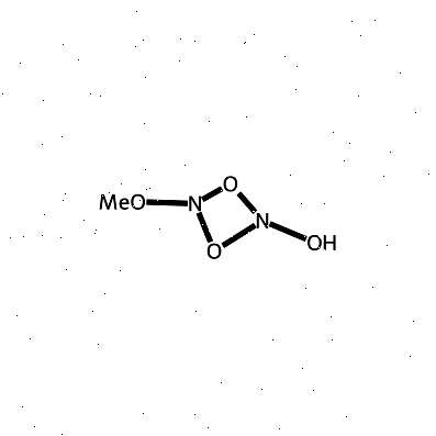 CON1ON(O)O1